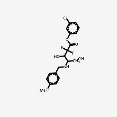 COc1ccc(CNC(C)C(O)C(F)(F)C(=O)Oc2cccc(Cl)c2)cc1.Cl